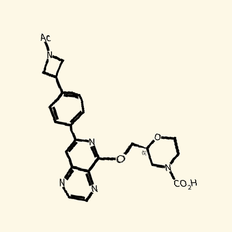 CC(=O)N1CC(c2ccc(-c3cc4nccnc4c(OC[C@@H]4CN(C(=O)O)CCO4)n3)cc2)C1